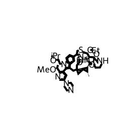 CCO[C@H](C1=NC(c2ccc3c(c2)c(CC2(COC=O)CC2)c(-c2cc(N4CCN(C)CC4)cnc2[C@H](C)OC)n3CCOC(C)C)CS1)[C@H](NC(=O)[C@H]1[C@H](C)[C@@H]1C)C(=O)N1CCCCN1